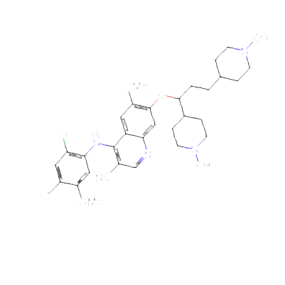 COc1cc(Nc2c(C#N)cnc3cc(OC(CCC4CCN(C)CC4)C4CCN(C)CC4)c(OC)cc23)c(Cl)cc1Cl